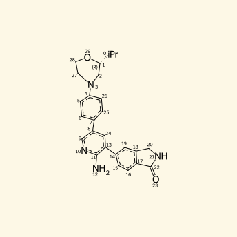 CC(C)[C@@H]1CN(c2ccc(-c3cnc(N)c(-c4ccc5c(c4)CNC5=O)c3)cc2)CCO1